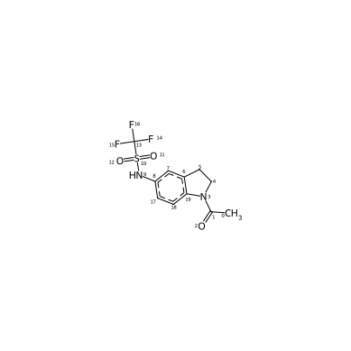 CC(=O)N1CCc2cc(NS(=O)(=O)C(F)(F)F)ccc21